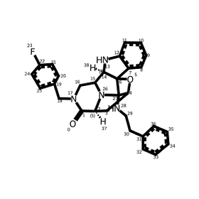 O=C1[C@@H]2CC3OC45c6ccccc6N[C@@H]4C(CN1Cc1ccc(F)cc1)N2C35NCCc1ccccc1